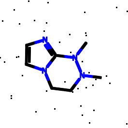 CN1CCn2ccnc2N1C